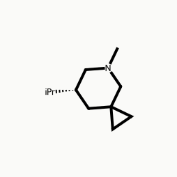 CC(C)[C@@H]1CN(C)CC2(CC2)C1